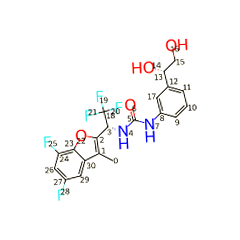 Cc1c([C@@H](NC(=O)Nc2cccc([C@H](O)CO)c2)C(F)(F)F)oc2c(F)cc(F)cc12